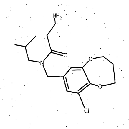 CC(C)CN(Cc1cc(Cl)c2c(c1)OCCCO2)C(=O)CCN